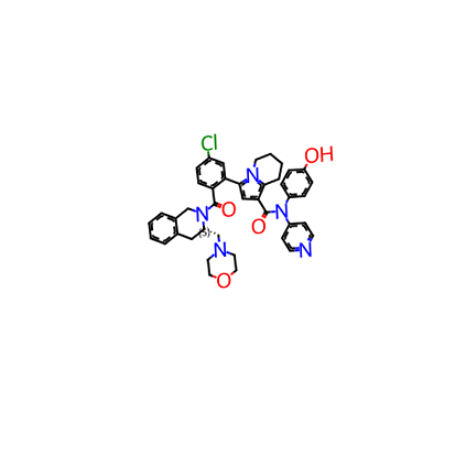 O=C(c1cc(-c2cc(Cl)ccc2C(=O)N2Cc3ccccc3C[C@H]2CN2CCOCC2)n2c1CCCC2)N(c1ccncc1)c1ccc(O)cc1